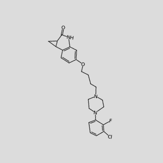 O=C1Nc2cc(OCCCCN3CCN(c4cccc(Cl)c4F)CC3)ccc2C2CC12